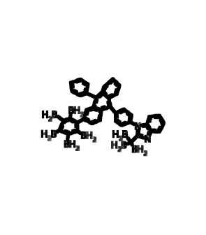 Bc1c(B)c(B)c(-c2ccc3c(-c4ccc(-n5c(C(B)(B)B)nc6ccccc65)cc4)c4ccccc4c(-c4ccccc4)c3c2)c(B)c1B